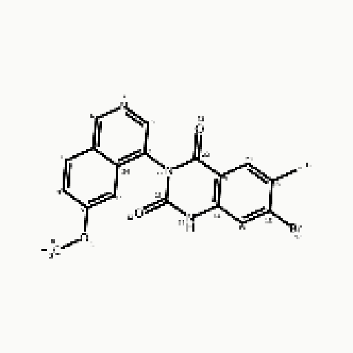 COc1ccc2cncc(-n3c(=O)[nH]c4cc(Br)c(F)cc4c3=O)c2c1